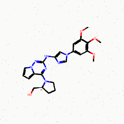 COc1cc(-n2cnc(Nc3nc(N4CCC[C@H]4CO)c4cccn4n3)c2)cc(OC)c1OC